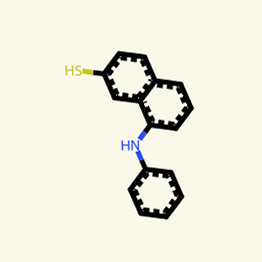 Sc1ccc2cccc(Nc3ccccc3)c2c1